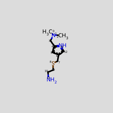 CN(C)Cc1cc(CSCCN)c[nH]1